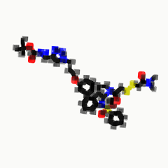 CN(C)C(=O)CSSCC(=O)N1CC[C@]2(c3ccc(OCCCn4cc(CNC(=O)OC(C)(C)C)nn4)cc3)c3ccccc3N(S(=O)(=O)c3ccccc3)[C@H]12